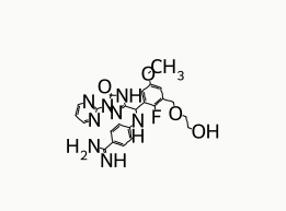 COc1cc(COCCO)c(F)c(C(Nc2ccc(C(=N)N)cc2)c2nn(-c3ncccn3)c(=O)[nH]2)c1